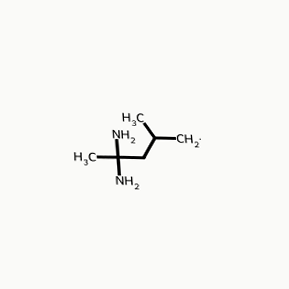 [CH2]C(C)CC(C)(N)N